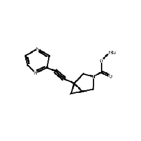 CC(C)(C)OC(=O)N1CC2CC2(C#Cc2cnccn2)C1